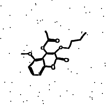 CCCCOc1c(OC(C)=O)c2c(OC)cccc2oc1=O